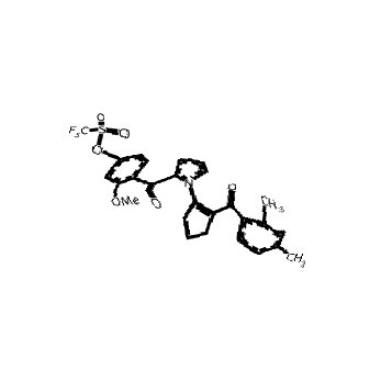 COc1cc(OS(=O)(=O)C(F)(F)F)ccc1C(=O)c1cccn1C1=C(C(=O)c2ccc(C)cc2C)CC=C1